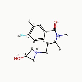 Cc1cc(C(=O)N(C)C(C)CCN2CC(O)C2)ccc1F